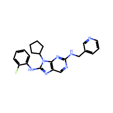 Fc1ccccc1Nc1nc2cnc(NCc3cccnc3)nc2n1C1CCCC1